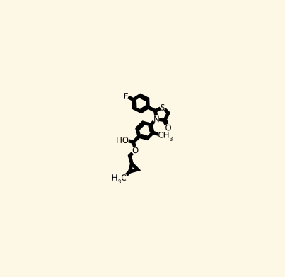 Cc1cc(C(O)OCC2CC2C)ccc1N1C(=O)CSC1c1ccc(F)cc1